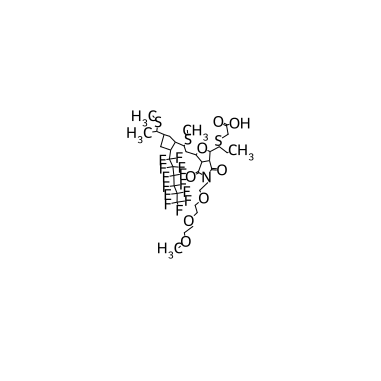 CCC(SCC(=O)O)C1OC(CC(SC)C2CC(C(C)SC)CC2C(F)(F)C(F)(F)C(F)(F)C(F)(F)C(F)(F)C(F)(F)F)C2C(=O)N(CCOCCOCCOC)C(=O)C12